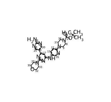 CC(C)(C)OC(=O)N1CCN(c2ccc(Nc3cc(-c4cnc(N)nc4)nc(N4CCOCC4)n3)cn2)CC1